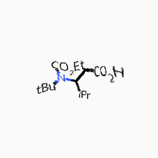 CCOC(=O)N(C(CC(=O)O)C(C)C)C(C)(C)C